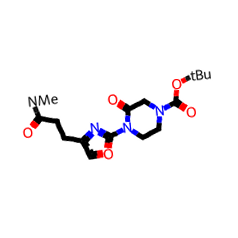 CNC(=O)CCc1coc(N2CCN(C(=O)OC(C)(C)C)CC2=O)n1